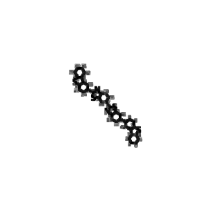 c1ccc2c(c1)sc1ccc(-c3ccc4nc(-c5ccc6nc(-c7ccc8sc9ccccc9c8c7)sc6c5)sc4c3)cc12